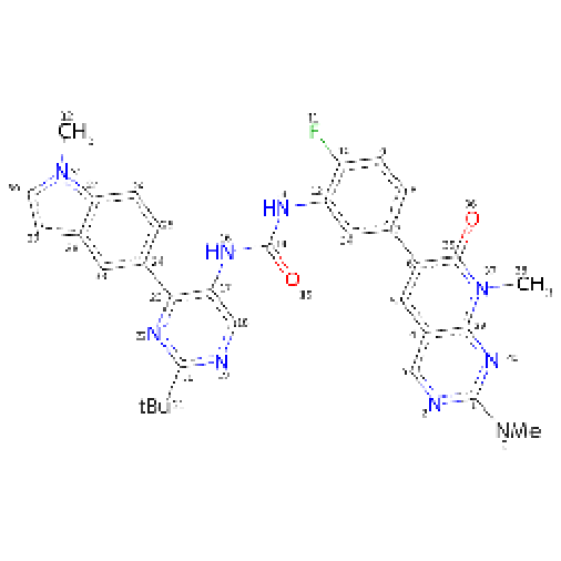 CNc1ncc2cc(-c3ccc(F)c(NC(=O)Nc4cnc(C(C)(C)C)nc4-c4ccc5c(ccn5C)c4)c3)c(=O)n(C)c2n1